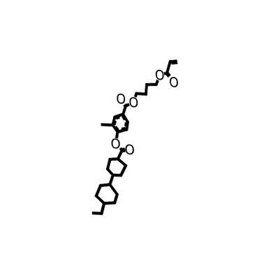 C=CC(=O)OCCCCOC(=O)c1ccc(OC(=O)C2CCC(C3CCC(CC)CC3)CC2)c(C)c1